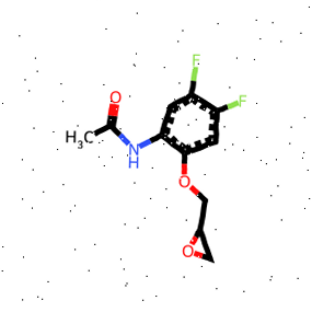 CC(=O)Nc1cc(F)c(F)cc1OCC1CO1